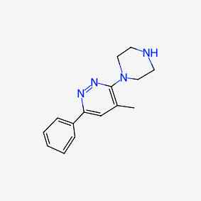 Cc1cc(-c2ccccc2)nnc1N1CCNCC1